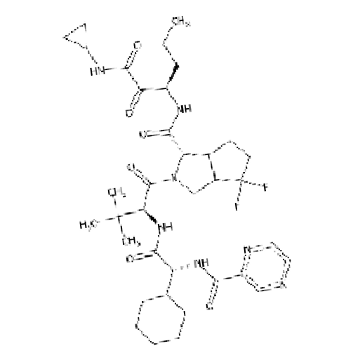 CCC[C@@H](NC(=O)[C@@H]1C2CCC(F)(F)C2CN1C(=O)[C@@H](NC(=O)[C@H](NC(=O)c1cnccn1)C1CCCCC1)C(C)(C)C)C(=O)C(=O)NC1CC1